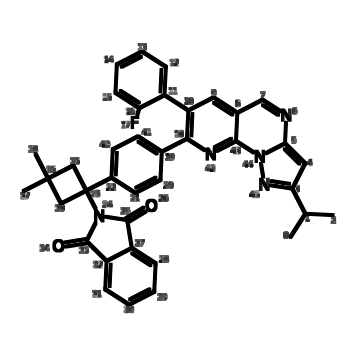 CC(C)c1cc2ncc3cc(-c4ccccc4F)c(-c4ccc(C5(N6C(=O)c7ccccc7C6=O)CC(C)(C)C5)cc4)nc3n2n1